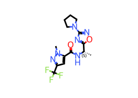 C[C@H](NC(=O)c1cc(C(F)(F)F)nn1C)c1nc(N2CCCC2)no1